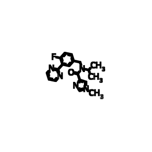 CC(C)N(Cc1ccc(F)c(-c2ncccn2)c1)C(=O)c1cn(C)cn1